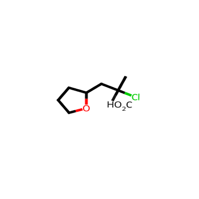 CC(Cl)(CC1CCCO1)C(=O)O